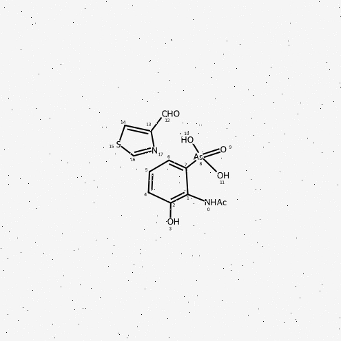 CC(=O)Nc1c(O)cccc1[As](=O)(O)O.O=Cc1cscn1